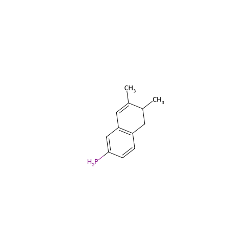 CC1=Cc2cc(P)ccc2CC1C